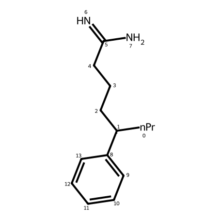 CCC[C](CCCC(=N)N)c1ccccc1